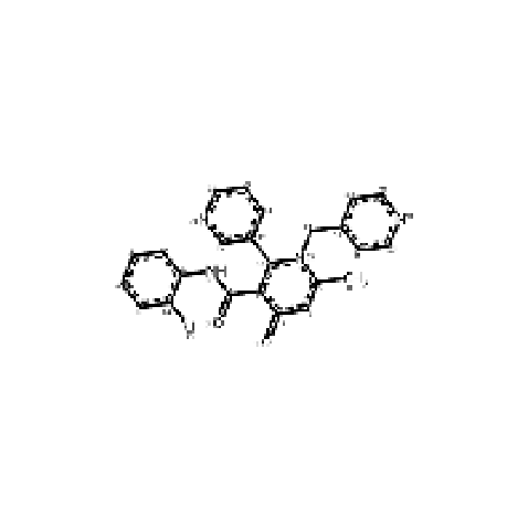 Cc1cc(=O)c(C(=O)Nc2ccccc2Cl)c(-c2cccnc2)n1Cc1ccncc1